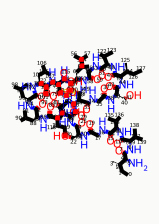 CC[C@H](C)[C@H](N)C(=O)N[C@H](C(=O)N[C@H](C(=O)NCC(=O)N[C@@H](CO)C(=O)N[C@H](C(=O)N[C@H](C(=O)NCC(=O)N[C@@H](CO)C(=O)N[C@H](C(=O)N[C@H](C(=O)N[C@@H](CC(C)C)C(=O)N[C@@H](CC(C)C)C(=O)N[C@@H](CC(C)C)C(=O)N[C@@H](CO)C(=O)N[C@H](C(=O)N[C@@H](CC(C)C)C(=O)N[C@@H](CC(C)C)C(=O)N[C@@H](CC(C)C)C(=O)N[C@@H](CS)C(=O)O)[C@@H](C)CC)C(C)C)[C@@H](C)CC)[C@@H](C)O)C(C)C)C(C)C)C(C)C